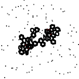 c1ccc(-c2nc(-c3ccc4c(c3)oc3ccccc34)cc(-c3ccccc3-c3ccc4c(c3)Oc3ccccc3C43c4ccccc4-c4cc(-c5ccc(-c6ccc(-c7cc(-c8ccccc8-c8ccc9c(c8)Oc8ccccc8C98c9ccccc9-c9ccccc98)nc(-c8ccccc8)n7)c7ccccc67)cc5)ccc43)n2)cc1